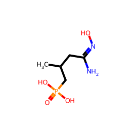 CC(C/C(N)=N\O)CP(=O)(O)O